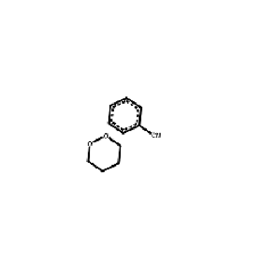 C1CCOOC1.N#Cc1ccccc1